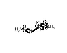 CC(C)[C@H]1C(=O)N(S(C)(=O)=O)[C@H]2CCN(C(=O)/C=C/CN3CCC(OC(N)=O)CC3)[C@H]12